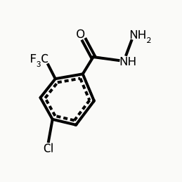 NNC(=O)c1ccc(Cl)cc1C(F)(F)F